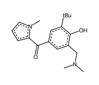 CN(C)Cc1cc(C(=O)c2cccn2C)cc(C(C)(C)C)c1O